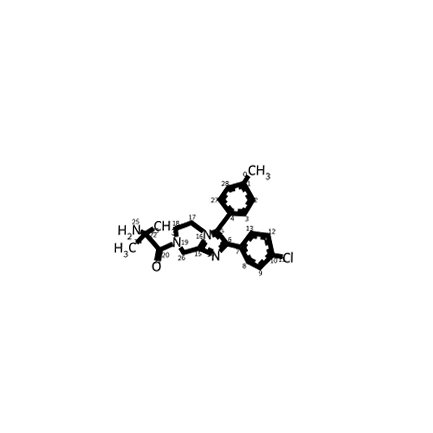 Cc1ccc(-c2c(-c3ccc(Cl)cc3)nc3n2CCN(C(=O)C(C)(C)N)C3)cc1